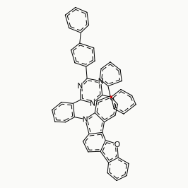 c1ccc(-c2ccc(-c3nc(-c4ccccc4)nc(-c4ccccc4-n4c5cc(-c6ccccc6)ccc5c5c6oc7ccccc7c6ccc54)n3)cc2)cc1